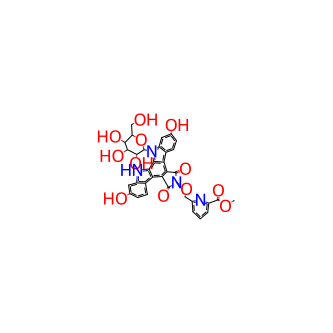 COC(=O)c1cccc(CON2C(=O)c3c(c4c5ccc(O)cc5n(C5OC(CO)C(O)C(O)C5O)c4c4[nH]c5cc(O)ccc5c34)C2=O)n1